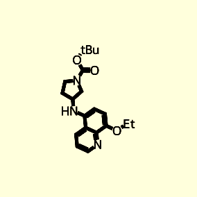 CCOc1ccc(NC2CCN(C(=O)OC(C)(C)C)C2)c2cccnc12